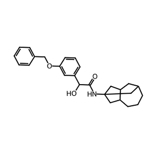 O=C(NC12CC3CCCC(C1)C(C3)C2)C(O)c1cccc(OCc2ccccc2)c1